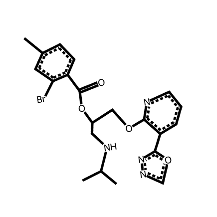 Cc1ccc(C(=O)OC(CNC(C)C)COc2ncccc2-c2nnco2)c(Br)c1